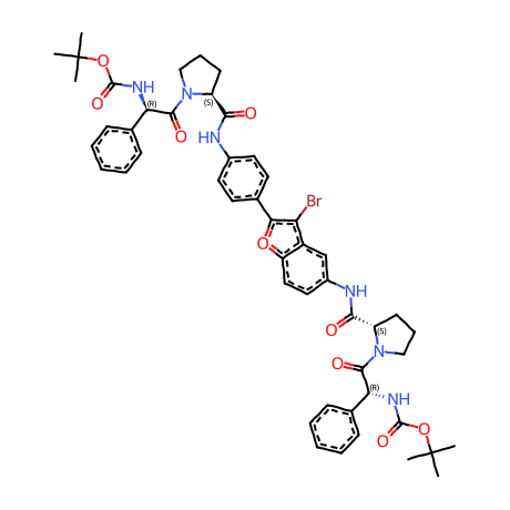 CC(C)(C)OC(=O)N[C@@H](C(=O)N1CCC[C@H]1C(=O)Nc1ccc(-c2oc3ccc(NC(=O)[C@@H]4CCCN4C(=O)[C@H](NC(=O)OC(C)(C)C)c4ccccc4)cc3c2Br)cc1)c1ccccc1